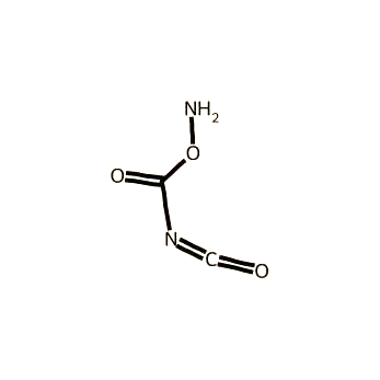 NOC(=O)N=C=O